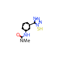 CNC(=O)Nc1cccc(-c2nnnn2S)c1